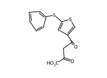 O=C(O)C(=O)CC(=O)c1csc(Sc2ccccc2)c1